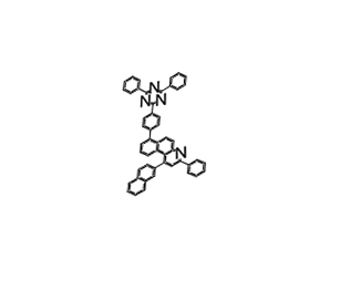 c1ccc(-c2cc(-c3ccc4ccccc4c3)c3c(ccc4c(-c5ccc(-c6nc(-c7ccccc7)nc(-c7ccccc7)n6)cc5)cccc43)n2)cc1